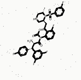 COC(=O)N(C(=O)[C@@H](N)[C@@H](c1ccc(F)cc1)c1cc(F)cc(F)c1)c1cccc(F)c1CC[C@H]1CNC[C@H](C)N1S(=O)(=O)c1cccc(F)c1